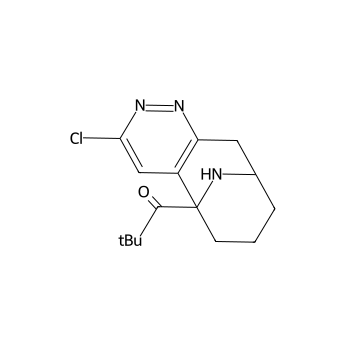 CC(C)(C)C(=O)C12CCCC(Cc3nnc(Cl)cc31)N2